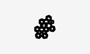 c1ccc(-c2oc3cccc4c3c2B2c3cccc5c3N(c3ccccc3C5(c3ccccc3)c3ccccc3)c3cccc-4c32)cc1